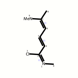 C\N=C(Cl)/C=C/C=C(/C)NC